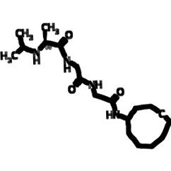 CC(C)N[C@@H](C)C(=O)NCC(=O)NCC(=O)NC1CCCCCCCC1